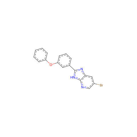 Brc1cnc2[nH]c(-c3cccc(Oc4ccccc4)c3)nc2c1